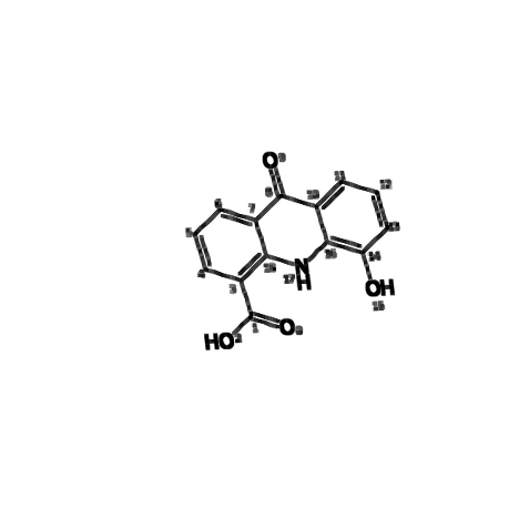 O=C(O)c1cccc2c(=O)c3cccc(O)c3[nH]c12